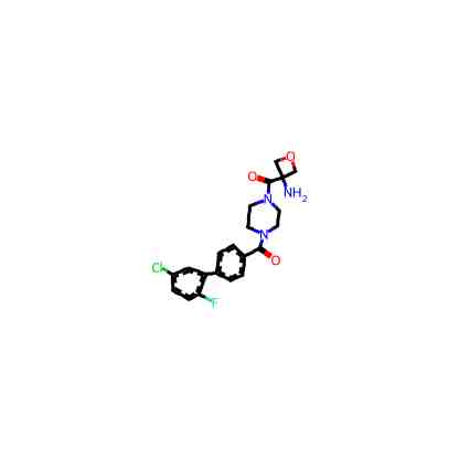 NC1(C(=O)N2CCN(C(=O)c3ccc(-c4cc(Cl)ccc4F)cc3)CC2)COC1